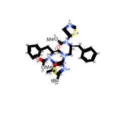 COC(=O)N(c1cncs1)[C@@H](Cc1ccccc1)CN(CCC(C)CC(C)(C)C)C[C@H](Cc1ccccc1)N(C(=O)OC)c1cncs1